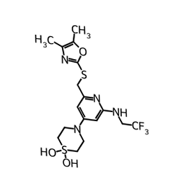 Cc1nc(SCc2cc(N3CCS(O)(O)CC3)cc(NCC(F)(F)F)n2)oc1C